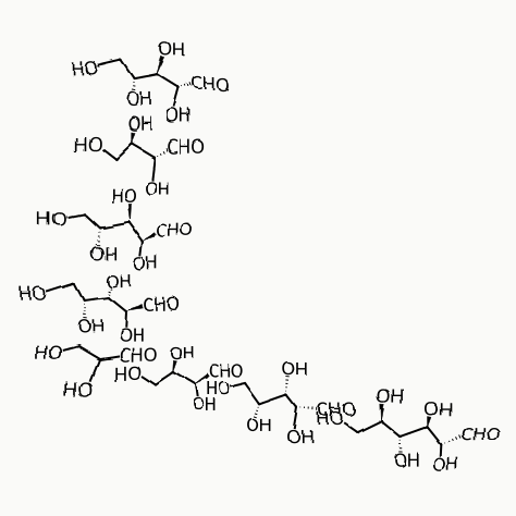 O=CC(O)CO.O=C[C@@H](O)[C@@H](O)[C@H](O)CO.O=C[C@@H](O)[C@H](O)CO.O=C[C@@H](O)[C@H](O)[C@H](O)CO.O=C[C@H](O)[C@@H](O)[C@H](O)CO.O=C[C@H](O)[C@H](O)CO.O=C[C@H](O)[C@H](O)[C@H](O)CO.O=C[C@H](O)[C@H](O)[C@H](O)[C@H](O)CO